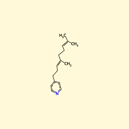 CC(C)=CCC/C(C)=C/CCc1ccncc1